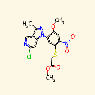 COC(=O)CSc1cc(-n2nc(C)c3cnc(Cl)cc32)c(OC)cc1[N+](=O)[O-]